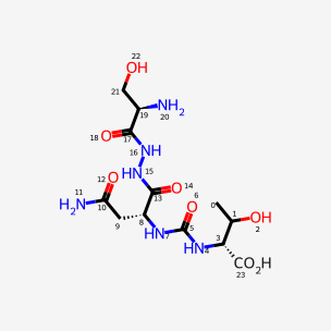 CC(O)[C@@H](NC(=O)N[C@H](CC(N)=O)C(=O)NNC(=O)[C@H](N)CO)C(=O)O